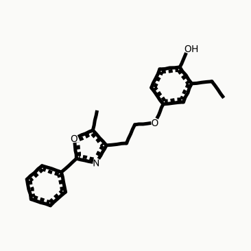 CCc1cc(OCCc2nc(-c3ccccc3)oc2C)ccc1O